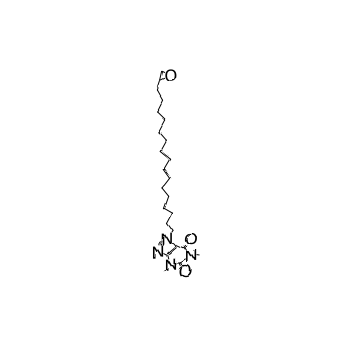 Cn1c(=O)c2c(ncn2CCCCCCCCCCCCCCCCC2CO2)n(C)c1=O